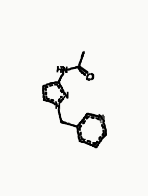 CC(=O)Nc1ccn(Cc2cccnc2)n1